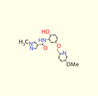 COc1ccc(COc2ccc(O)c(NC(=O)c3cnn(C)c3)c2)nc1